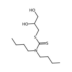 CCCCN(CCCC)C(=S)SCC(O)CO